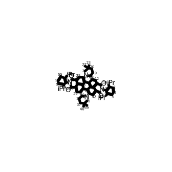 CC(C)c1cccc(C(C)C)c1N1C(=O)c2ccc3c4c(N5CCCC(C)(C)C5)cc5c6c(ccc(c7c(N8CCCC(C)(C)C8)cc(c2c37)C1=O)c64)C(=O)N(c1c(C(C)C)cccc1C(C)C)C5=O